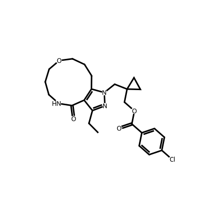 CCc1nn(CC2(COC(=O)c3ccc(Cl)cc3)CC2)c2c1C(=O)NCCCOCCC2